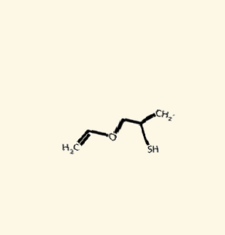 [CH2]C(S)COC=C